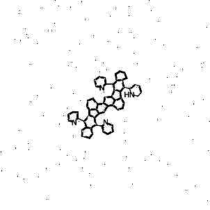 C1=CCNC(c2c3ccccc3c(-c3ccccn3)c3c4cc5c(cc6c7c(-c8ccccn8)c8ccccc8c(-c8ccccn8)c7c7cccc5c76)c5cccc(c23)c54)=C1